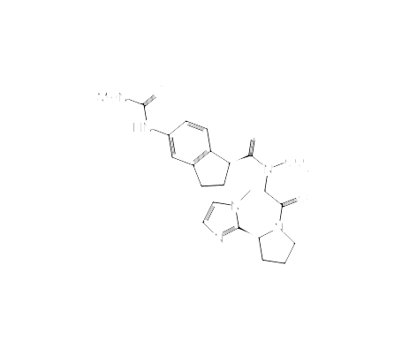 CNC(=O)Nc1ccc2c(c1)CC[C@@H]2C(=O)N(CC(=O)N1CCC[C@H]1c1nccn1C)C(=O)O